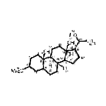 COC1CC[C@@]2(C)C(CC[C@H]3[C@@H]4CC[C@H](C(C)O)[C@@]4(C)CC[C@@H]32)C1